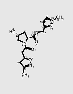 CC1=NOC(CC(=O)N2C[C@H](O)C[C@H]2C(=O)NCc2ccn(C)n2)C1